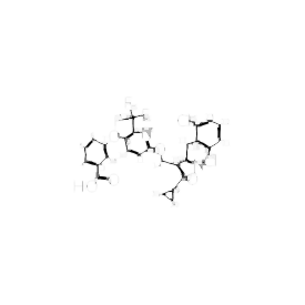 O=C(O)c1cccc(Oc2ccc(OCc3c(Cc4c(Cl)cccc4Cl)noc3C3CC3)nc2C(F)(F)F)c1